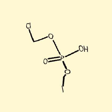 O=P(O)(OI)OCCl